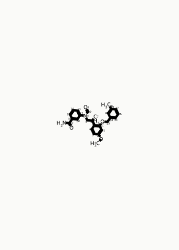 COc1ccc(C(C)CN(C=O)c2cccc(C(N)=O)c2)c(OCc2cccc(C)c2)c1